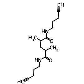 C#CCCCNC(=O)C(C)CC(C)C(=O)NCCCC#C